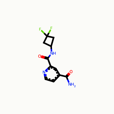 NC(=O)c1ccnc(C(=O)NC2CC(F)(F)C2)c1